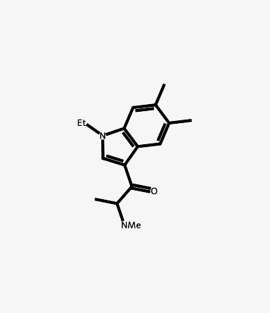 CCn1cc(C(=O)C(C)NC)c2cc(C)c(C)cc21